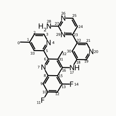 Cc1ccnc(-c2nc3cc(F)cc(F)c3c(Nc3cncc(-c4ccnc(N)n4)c3)c2C)c1